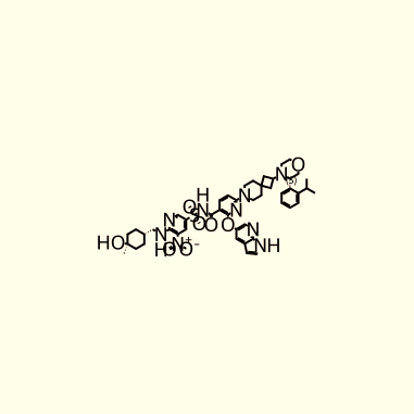 CC(C)c1ccccc1[C@H]1COCCN1C1CC2(CCN(c3ccc(C(=O)NS(=O)(=O)c4cnc(NC[C@H]5CC[C@](C)(O)CC5)c([N+](=O)[O-])c4)c(Oc4cnc5[nH]ccc5c4)n3)CC2)C1